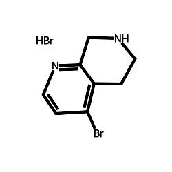 Br.Brc1ccnc2c1CCNC2